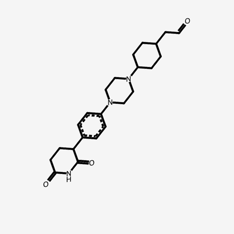 O=CCC1CCC(N2CCN(c3ccc(C4CCC(=O)NC4=O)cc3)CC2)CC1